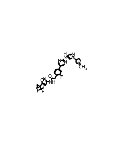 CN1CCC(n2cc(Nc3ncc(-c4ccc(CC(=O)Nc5cc(C6(C(F)(F)F)CC6)on5)c(F)c4)cn3)cn2)C1